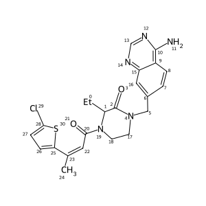 CCC1C(=O)N(Cc2ccc3c(N)ncnc3c2)CCN1C(=O)/C=C(/C)c1ccc(Cl)s1